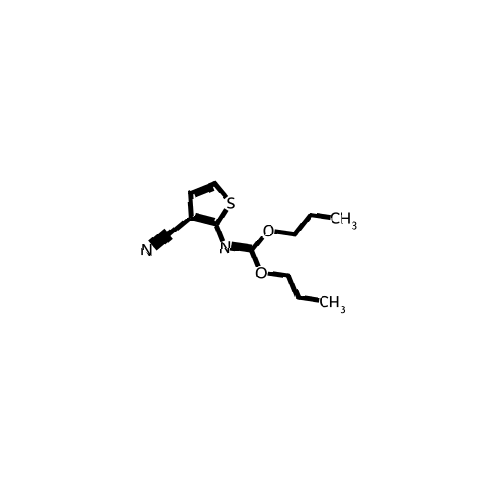 CCCOC(=Nc1sccc1C#N)OCCC